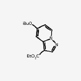 CCOC(=O)c1cnn2ccc(OCC(C)C)cc12